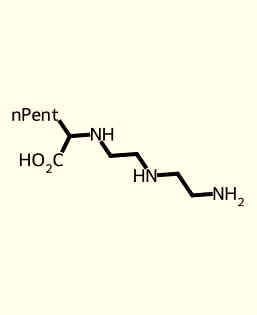 CCCCCC(NCCNCCN)C(=O)O